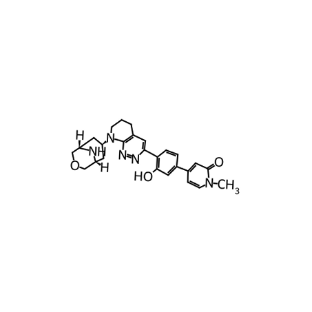 Cn1ccc(-c2ccc(-c3cc4c(nn3)N([C@@H]3C[C@H]5COC[C@@H](C3)N5)CCC4)c(O)c2)cc1=O